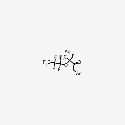 CC(=O)CC(=O)C(F)(OC(F)(F)C(F)(F)C(F)(F)F)C(F)(F)F.[Ag]